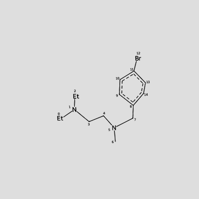 CCN(CC)CCN(C)Cc1ccc(Br)cc1